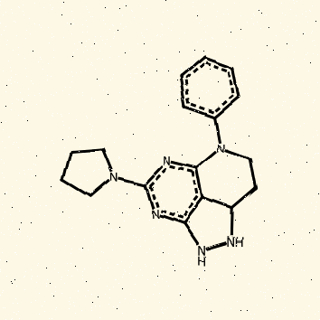 c1ccc(N2CCC3NNc4nc(N5CCCC5)nc2c43)cc1